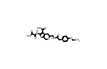 CCOc1ccc(CC(=O)NCC2Cc3c(sc(NC(=O)C(=O)O)c3C(=O)O)CO2)cc1